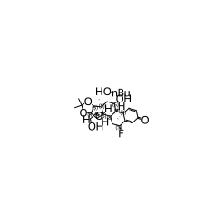 CC1(C)O[C@@H]2C[C@H]3[C@@H]4C[C@H](F)C5=CC(=O)C=C[C@]5(C)[C@H]4[C@@H](O)C[C@]3(C)[C@]2(C(=O)CO)O1.CCCCO